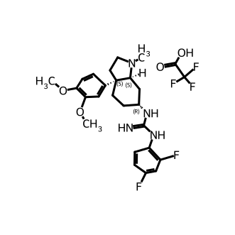 COc1ccc([C@@]23CC[C@@H](NC(=N)Nc4ccc(F)cc4F)C[C@@H]2N(C)CC3)cc1OC.O=C(O)C(F)(F)F